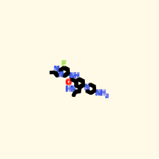 Cc1cn2cc(NC(=O)c3ccc(N4CCC(N)CC4)c4cc(C)[nH]c34)cc(F)c2n1